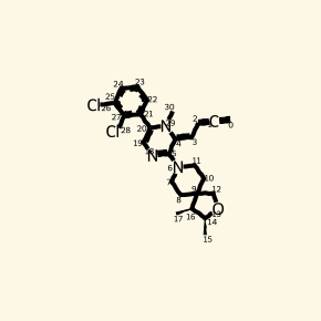 C=C=C/C=C1/C(N2CCC3(CC2)CO[C@@H](C)[C@H]3C)=NC=C(c2cccc(Cl)c2Cl)N1C